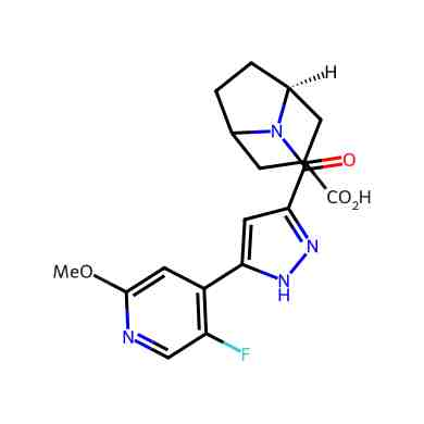 COc1cc(-c2cc(C(=O)N3C4CC[C@H]3CC(C(=O)O)C4)n[nH]2)c(F)cn1